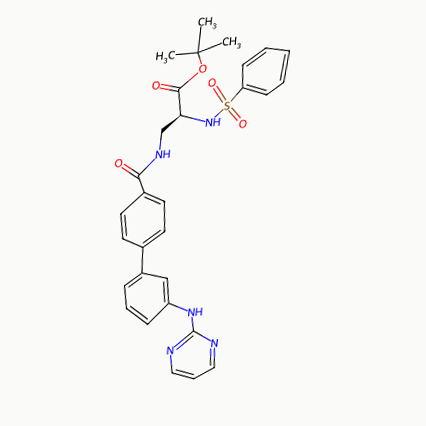 CC(C)(C)OC(=O)[C@H](CNC(=O)c1ccc(-c2cccc(Nc3ncccn3)c2)cc1)NS(=O)(=O)c1ccccc1